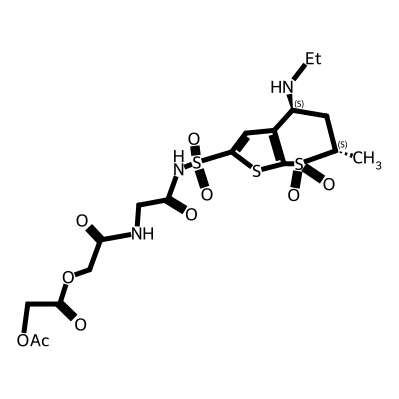 CCN[C@H]1C[C@H](C)S(=O)(=O)c2sc(S(=O)(=O)NC(=O)CNC(=O)COC(=O)COC(C)=O)cc21